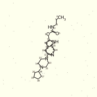 CCCNC(=O)Oc1cc2cc(N3CCN(C4CCCC4)CC3)ncc2[nH]1